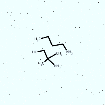 CC(C)(N)CO.CCCCN